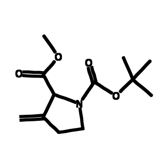 C=C1CCN(C(=O)OC(C)(C)C)C1C(=O)OC